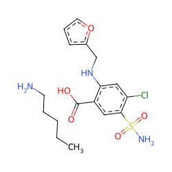 CCCCCN.NS(=O)(=O)c1cc(C(=O)O)c(NCc2ccco2)cc1Cl